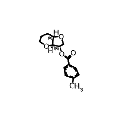 Cc1ccc(C(=O)O[C@@H]2CO[C@@H]3CCCO[C@@H]32)cc1